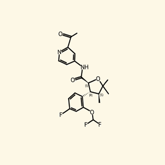 CC(=O)c1cc(NC(=O)[C@H]2OC(C)(C)[C@@H](C)[C@@H]2c2ccc(F)cc2OC(F)F)ccn1